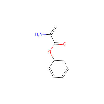 C=C(N)C(=O)Oc1ccccc1